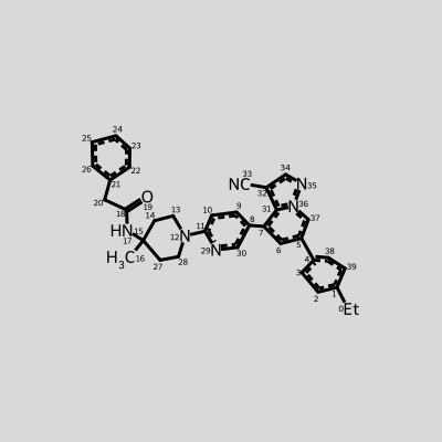 CCc1ccc(-c2cc(-c3ccc(N4CCC(C)(NC(=O)Cc5ccccc5)CC4)nc3)c3c(C#N)cnn3c2)cc1